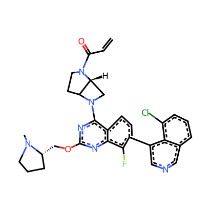 C=CC(=O)N1CCC2[C@H]1CN2c1nc(OC[C@@H]2CCCN2C)nc2c(F)c(-c3cncc4cccc(Cl)c34)ccc12